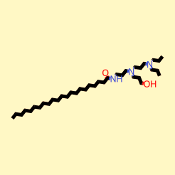 CCCCCCCCCCCCCCCCCCCCCC(=O)NCCCN(CCCO)CCCN(CCC)CCC